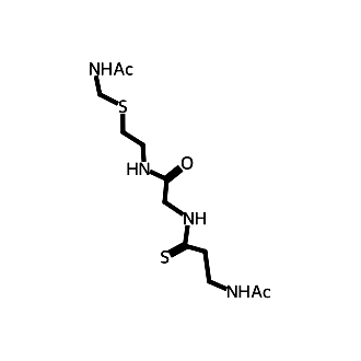 CC(=O)NCCC(=S)NCC(=O)NCCSCNC(C)=O